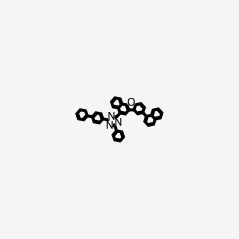 C1=CCCC(c2ccc(-c3nc(-c4ccccc4)nc(-c4cc5c(c6ccccc46)OC4C=CC(c6cccc7ccccc67)=CC54)n3)cc2)=C1